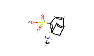 N.O=S(=O)([O-])c1ccc2cc1C2.[Na+]